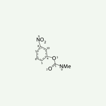 CNC(=O)Oc1cccc([N+](=O)[O-])c1